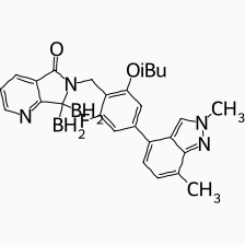 BC1(B)c2ncccc2C(=O)N1Cc1c(F)cc(-c2ccc(C)c3nn(C)cc23)cc1OCC(C)C